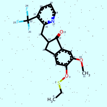 CCSOc1cc2c(cc1OC)C(=O)C(Cc1ncccc1C(F)(F)F)C2